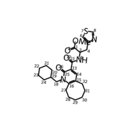 COC(=O)C(Cc1cscn1)NC(=O)c1cc2c(n(CC3CCCCC3)c1=O)CCCCCC2